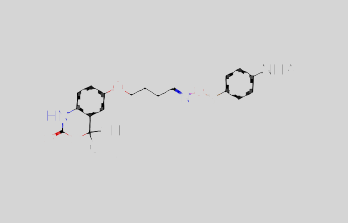 CC(=O)Nc1ccc(SON=CCCCOc2ccc3c(c2)C(C)(C)OC(=O)N3)cc1